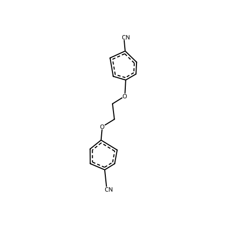 N#Cc1ccc(OCCOc2ccc(C#N)cc2)cc1